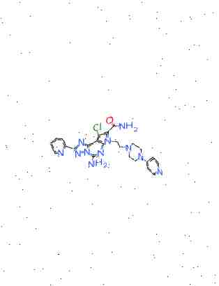 NC(=O)c1c(Cl)c2c(nc(N)n3nc(-c4ccccn4)nc23)n1CCN1CCN(c2ccncc2)CC1